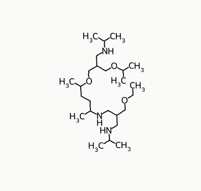 CCOCC(CNC(C)C)CNC(C)CCC(C)OCC(CNC(C)C)COC(C)C